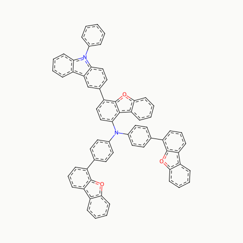 c1ccc(-n2c3ccccc3c3cc(-c4ccc(N(c5ccc(-c6cccc7c6oc6ccccc67)cc5)c5ccc(-c6cccc7c6oc6ccccc67)cc5)c5c4oc4ccccc45)ccc32)cc1